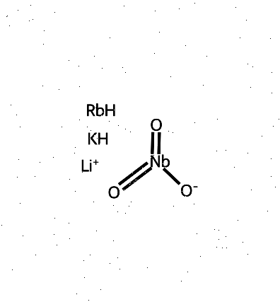 [KH].[Li+].[O]=[Nb](=[O])[O-].[RbH]